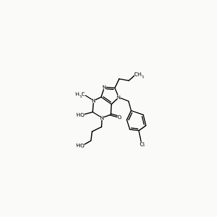 CCCc1nc2c(n1Cc1ccc(Cl)cc1)C(=O)N(CCCO)C(O)N2C